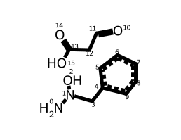 NN(O)Cc1ccccc1.O=CCC(=O)O